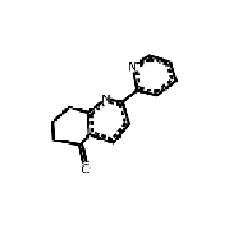 O=C1CCCc2nc(-c3ccccn3)ccc21